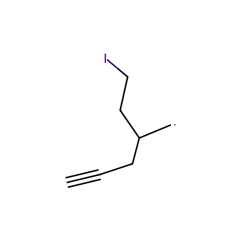 C#CCC([CH2])CCI